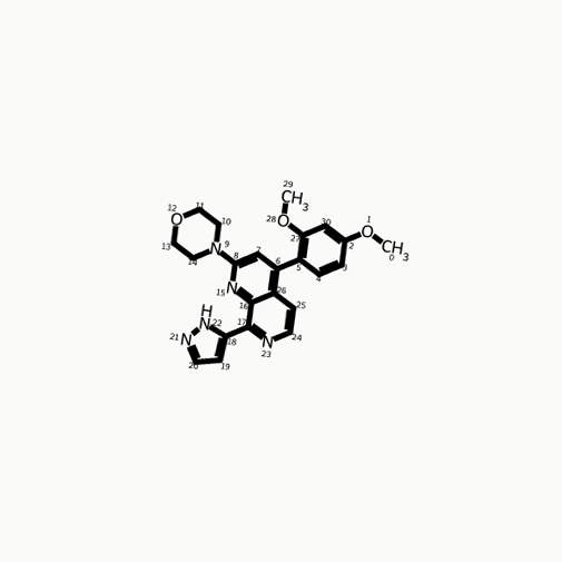 COc1ccc(-c2cc(N3CCOCC3)nc3c(-c4ccn[nH]4)nccc23)c(OC)c1